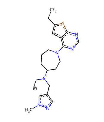 CC(C)CN(Cc1cnn(C)c1)C1CCCN(c2ncnc3sc(CC(F)(F)F)cc23)CC1